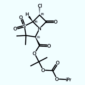 CC(C)OC(=O)OC(C)(C)OC(=O)[C@@H]1N2C(=O)[C@@H](Cl)[C@H]2S(=O)(=O)C1(C)C